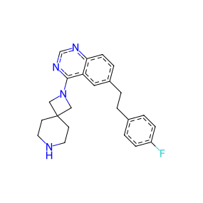 Fc1ccc(CCc2ccc3ncnc(N4CC5(CCNCC5)C4)c3c2)cc1